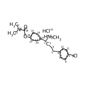 CNC(CCCc1ccc(Cl)cc1)c1ccc(OC(=O)N(C)C)cc1.Cl